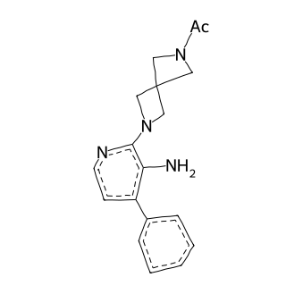 CC(=O)N1CC2(C1)CN(c1nccc(-c3ccccc3)c1N)C2